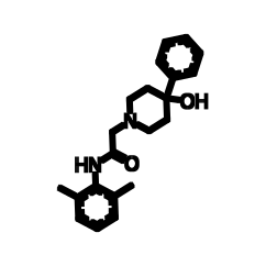 Cc1cccc(C)c1NC(=O)CN1CCC(O)(c2ccccc2)CC1